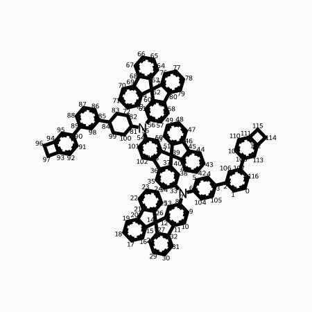 c1cc(-c2ccc(N(c3ccc4c(c3)C3(c5ccccc5-c5ccccc53)c3ccccc3-4)c3ccc4c(c3)C3(c5ccccc5-c5ccccc53)c3cc(N(c5ccc6c(c5)C5(c7ccccc7-c7ccccc75)c5ccccc5-6)C5CCC(c6cccc(-c7ccc8c(c7)CC8)c6)CC5)ccc3-4)cc2)cc(-c2ccc3c(c2)CC3)c1